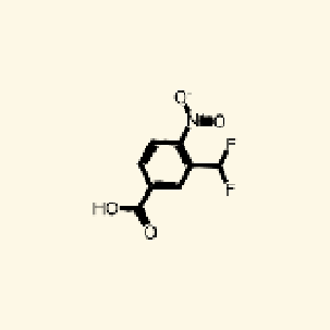 O=C(O)c1ccc([N+](=O)[O-])c(C(F)F)c1